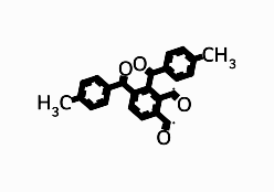 Cc1ccc(C(=O)c2ccc([C]=O)c([C]=O)c2C(=O)c2ccc(C)cc2)cc1